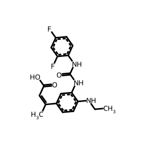 CCNc1ccc(/C(C)=C\C(=O)O)cc1NC(=O)Nc1ccc(F)cc1F